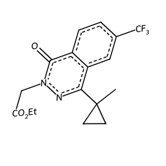 CCOC(=O)Cn1nc(C2(C)CC2)c2cc(C(F)(F)F)ccc2c1=O